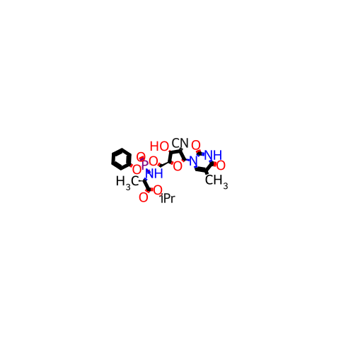 Cc1cn([C@H]2O[C@@H](COP(=O)(N[C@@H](C)C(=O)OC(C)C)Oc3ccccc3)[C@@H](O)C2C#N)c(=O)[nH]c1=O